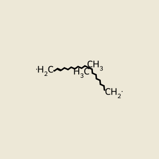 [CH2]C/C=C/CCCCCCCC(C)(C)CCCCCCCC[CH2]